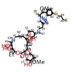 CC[C@H]1OC(=O)[C@H](C)[C@@H](O[C@H]2C[C@@](C)(OC)[C@@H](O)[C@H](C)O2)[C@H](C)[C@@H](O[C@H]2C[C@@H](N(C)CCc3cn([C@H](CF)[C@H](OC)c4ccc(SCCCF)cc4)nn3)C[C@@H](C)O2)[C@](C)(O)C[C@@H](C)CN(C)[C@H](C)[C@@H](O)[C@]1(C)O